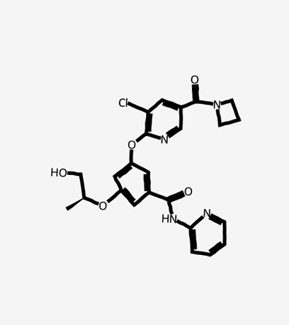 C[C@@H](CO)Oc1cc(Oc2ncc(C(=O)N3CCC3)cc2Cl)cc(C(=O)Nc2ccccn2)c1